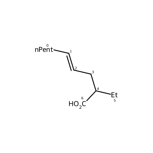 CCCCCC=CCC(CC)C(=O)O